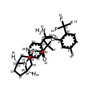 CC(C)(Oc1cc(F)ccc1C(F)(F)F)C(=O)N[C@H]1C[C@H]2CC[C@@H](C1)N2c1ccc(C(N)=O)cn1